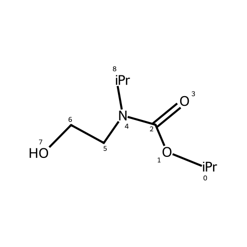 CC(C)OC(=O)N(CCO)C(C)C